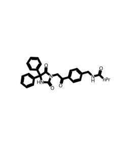 CCCC(=O)NCc1ccc(C(=O)CN2C(=O)NC(c3ccccc3)(c3ccccc3)C2=O)cc1